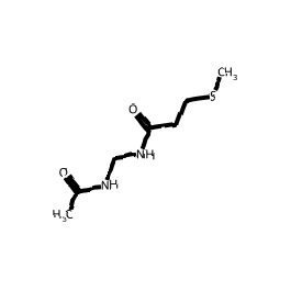 CSCCC(=O)NCNC(C)=O